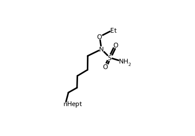 CCCCCCCCCCCCN(OCC)S(N)(=O)=O